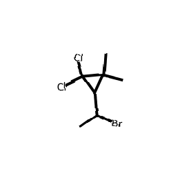 CC(Br)C1C(C)(C)C1(Cl)Cl